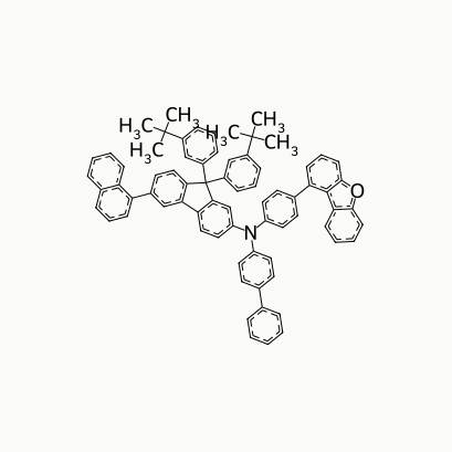 CC(C)(C)c1cccc(C2(c3cccc(C(C)(C)C)c3)c3ccc(-c4cccc5ccccc45)cc3-c3ccc(N(c4ccc(-c5ccccc5)cc4)c4ccc(-c5cccc6oc7ccccc7c56)cc4)cc32)c1